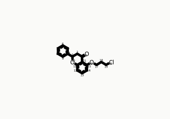 O=C1CC(c2ccccc2)Oc2cccc(OCCCCl)c21